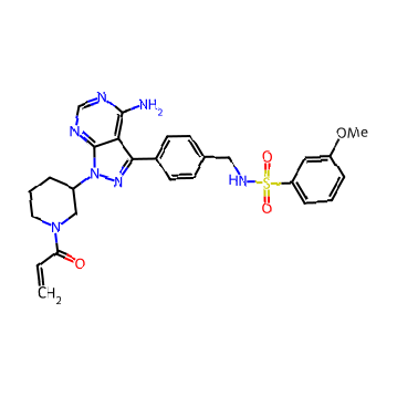 C=CC(=O)N1CCCC(n2nc(-c3ccc(CNS(=O)(=O)c4cccc(OC)c4)cc3)c3c(N)ncnc32)C1